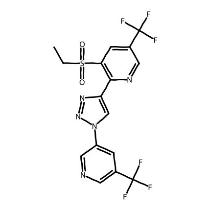 CCS(=O)(=O)c1cc(C(F)(F)F)cnc1-c1cn(-c2cncc(C(F)(F)F)c2)nn1